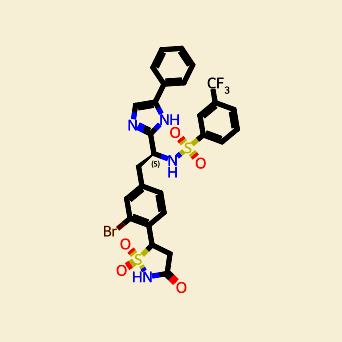 O=C1CC(c2ccc(C[C@H](NS(=O)(=O)c3cccc(C(F)(F)F)c3)c3ncc(-c4ccccc4)[nH]3)cc2Br)S(=O)(=O)N1